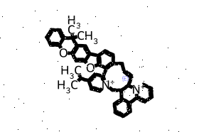 CC(C)c1cc[n+]2c(c1)-c1c(ccc3c1oc1cc4c(cc13)C(C)(C)c1ccccc1O4)C/C=C/C1C(C2)c2ccccc2-c2cccc[n+]21